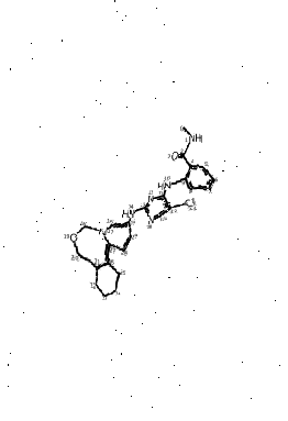 CNC(=O)c1ccccc1Nc1nc(NC2=CN3COCC4CCCCC4=C3C=C2)ncc1Cl